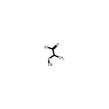 CCC(=O)C(C)SC#N